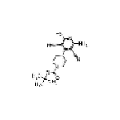 CC(C)(C)OC(=O)N1CCC(c2c(C#N)c(N)nc(S)c2C#N)CC1